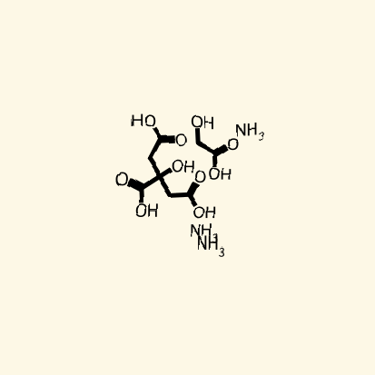 N.N.N.O=C(O)CC(O)(CC(=O)O)C(=O)O.O=C(O)CO